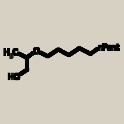 CCCCCCCCCCOC(C)CO